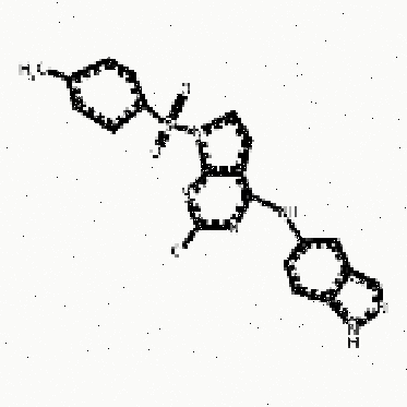 Cc1ccc(S(=O)(=O)n2ccc3c(Nc4ccc5[nH]ncc5c4)nc(Cl)nc32)cc1